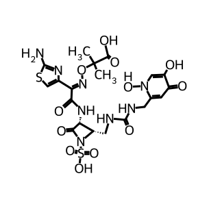 CC(C)(ON=C(C(=O)N[C@H]1C(=O)N(S(=O)(=O)O)[C@H]1CNC(=O)NCc1cc(=O)c(O)cn1O)c1csc(N)n1)C(=O)O